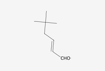 CC(C)(C)CC=C[C]=O